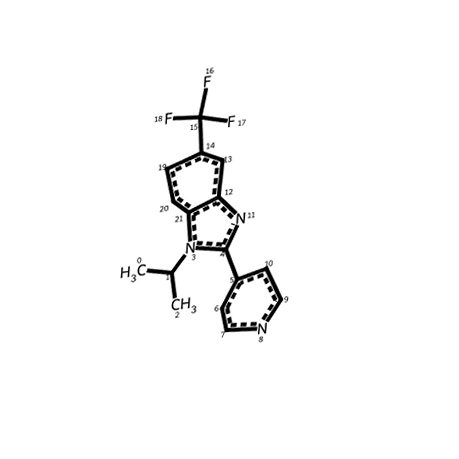 CC(C)n1c(-c2ccncc2)nc2cc(C(F)(F)F)ccc21